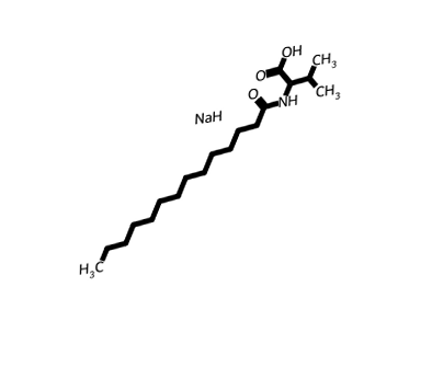 CCCCCCCCCCCCCC(=O)NC(C(=O)O)C(C)C.[NaH]